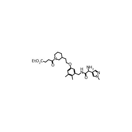 CCOC(=O)CCC(=O)N1CCCC(CCOc2cc(C)c(C)c(CNC(=O)C(N)c3cnn(C)c3)c2)C1